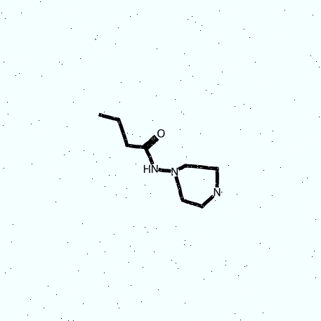 CCCC(=O)NN1CC[N]CC1